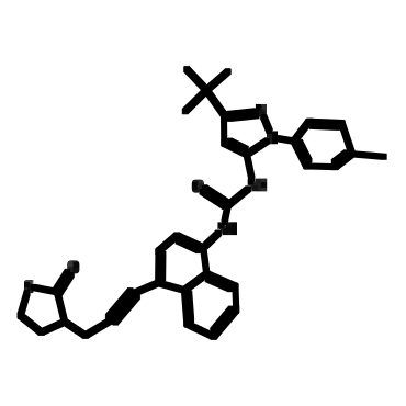 Cc1ccc(-n2nc(C(C)(C)C)cc2NC(=O)Nc2ccc(C#CCC3CCSC3=O)c3ccccc23)cc1